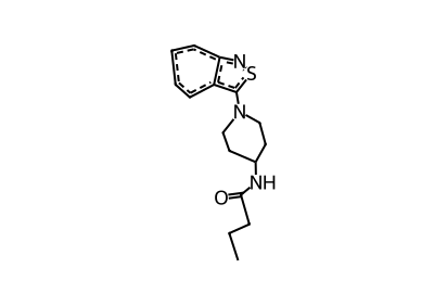 CCCC(=O)NC1CCN(c2snc3ccccc23)CC1